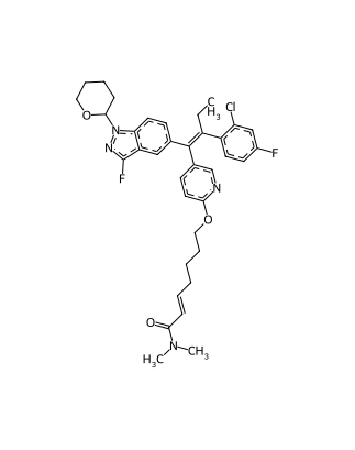 CC/C(=C(/c1ccc(OCCCC/C=C/C(=O)N(C)C)nc1)c1ccc2c(c1)c(F)nn2C1CCCCO1)c1ccc(F)cc1Cl